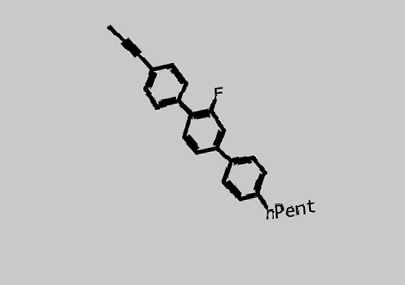 CC#Cc1ccc(-c2ccc(-c3ccc(CCCCC)cc3)cc2F)cc1